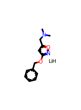 CN(C)Cc1cc(OCc2ccccc2)no1.[LiH]